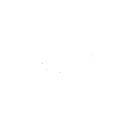 COc1ccc(C(=O)NP(=O)(CO[C@@H](C)Cn2cnc3c(N)ncnc32)NC(C)(C)C(=O)O)cc1